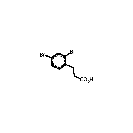 O=C(O)CCc1ccc(Br)cc1Br